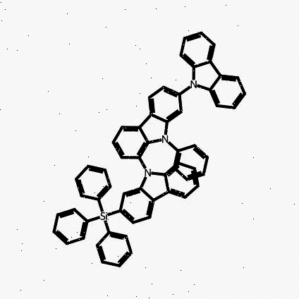 c1ccc(-n2c3cc(-n4c5ccccc5c5ccccc54)ccc3c3cccc(-n4c5ccccc5c5ccc([Si](c6ccccc6)(c6ccccc6)c6ccccc6)cc54)c32)cc1